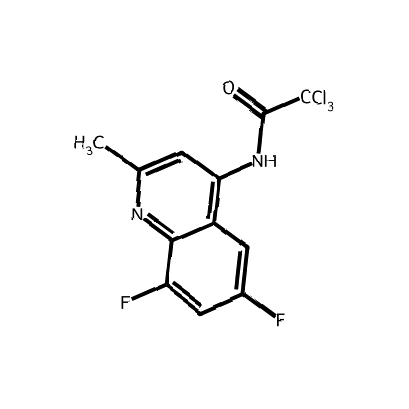 Cc1cc(NC(=O)C(Cl)(Cl)Cl)c2cc(F)cc(F)c2n1